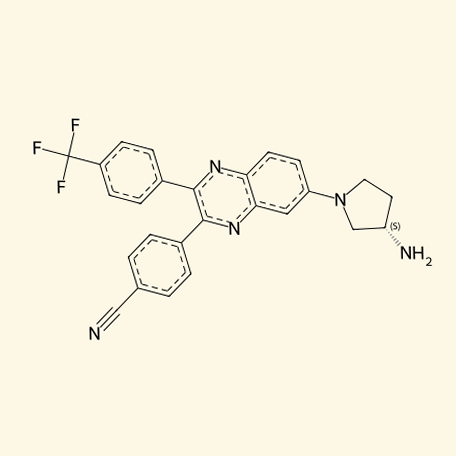 N#Cc1ccc(-c2nc3cc(N4CC[C@H](N)C4)ccc3nc2-c2ccc(C(F)(F)F)cc2)cc1